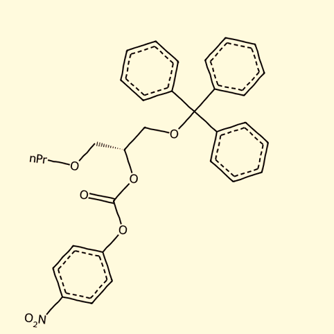 CCCOC[C@H](COC(c1ccccc1)(c1ccccc1)c1ccccc1)OC(=O)Oc1ccc([N+](=O)[O-])cc1